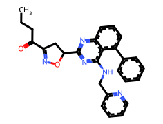 CCCC(=O)C1=NOC(c2nc(NCc3ccccn3)c3c(-c4ccccc4)cccc3n2)C1